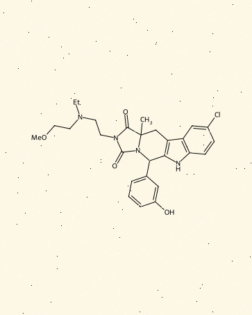 CCN(CCOC)CCN1C(=O)N2C(c3cccc(O)c3)c3[nH]c4ccc(Cl)cc4c3CC2(C)C1=O